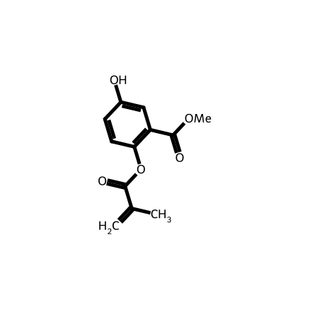 C=C(C)C(=O)Oc1ccc(O)cc1C(=O)OC